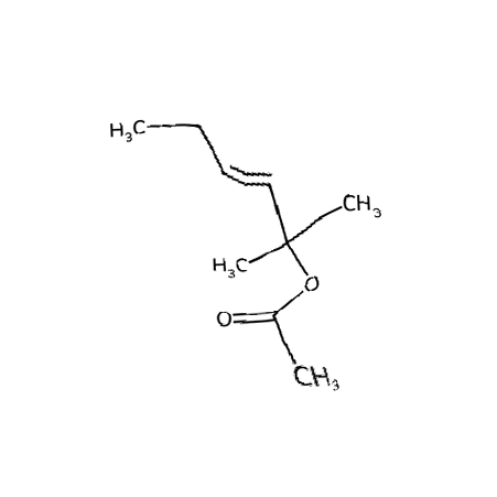 CCC=CC(C)(C)OC(C)=O